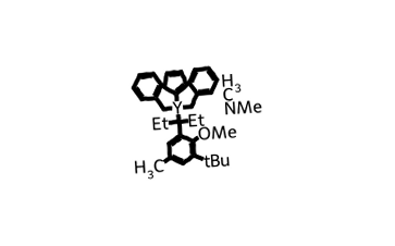 CC[C](CC)(c1cc(C)cc(C(C)(C)C)c1OC)[Y]([CH2]c1ccccc1)([CH2]c1ccccc1)[C]1=CC=CC1.CNC